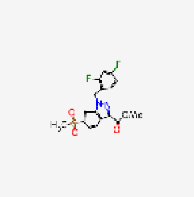 COC(=O)c1nn(Cc2ccc(F)cc2F)c2cc(S(C)(=O)=O)ccc12